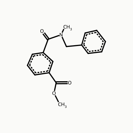 COC(=O)c1cccc(C(=O)N(C)Cc2ccccc2)c1